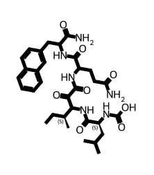 CC[C@H](C)C(NC(=O)[C@H](CC(C)C)NC(=O)O)C(=O)C(=O)NC(CCC(N)=O)C(=O)NC(Cc1ccc2ccccc2c1)C(N)=O